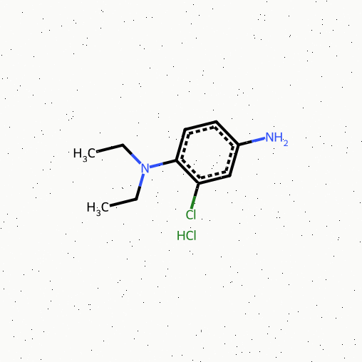 CCN(CC)c1ccc(N)cc1Cl.Cl